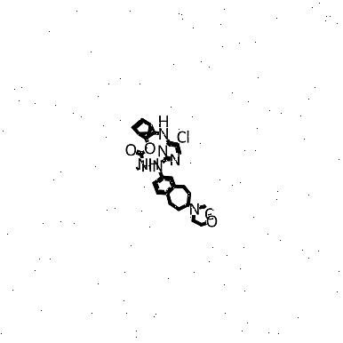 CNC(=O)OC1C2C=CC(C2)C1Nc1nc(Nc2ccc3c(c2)CCC(N2CCOCC2)CC3)ncc1Cl